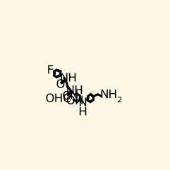 NCCc1ccc(NC2CCN(C(=O)NCCC(=O)Nc3ccc(F)cc3)CC2)cc1.O=CO